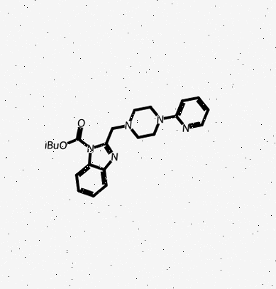 CC(C)COC(=O)n1c(CN2CCN(c3ccccn3)CC2)nc2ccccc21